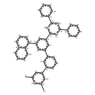 Cc1cc(-c2cccc(-c3cc(-c4nc(-c5ccccc5)nc(-c5ccccc5)n4)cc(-c4cccc5ccccc45)c3)c2)cc(C)n1